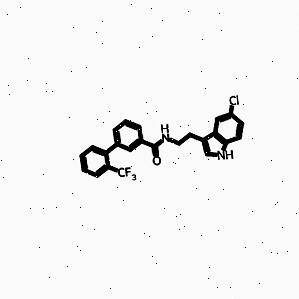 O=C(NCCc1c[nH]c2ccc(Cl)cc12)c1cccc(-c2ccccc2C(F)(F)F)c1